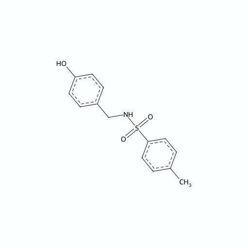 Cc1ccc(S(=O)(=O)NCc2ccc(O)cc2)cc1